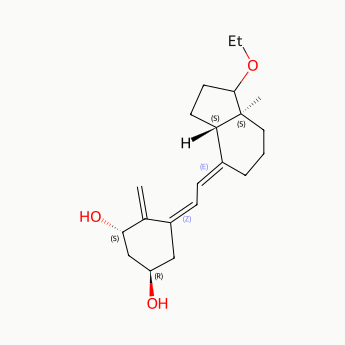 C=C1/C(=C\C=C2/CCC[C@]3(C)C(OCC)CC[C@@H]23)C[C@@H](O)C[C@@H]1O